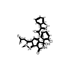 Cn1nc2c3c(c(NC(=O)c4nsc5ccccc45)cc2c1CC(F)F)C(O)(c1cc(F)ccc1Cl)NC3=O